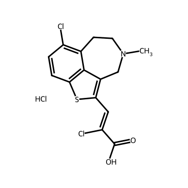 CN1CCc2c(Cl)ccc3sc(/C=C(\Cl)C(=O)O)c(c23)C1.Cl